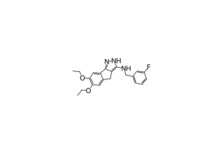 CCOc1cc2c(cc1OCC)-c1n[nH]c(NCc3cccc(F)c3)c1C2